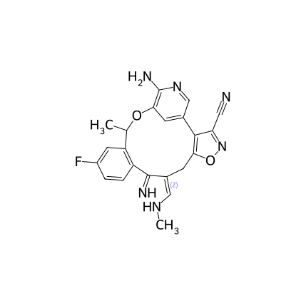 CN/C=C1/Cc2onc(C#N)c2-c2cnc(N)c(c2)OC(C)c2cc(F)ccc2C1=N